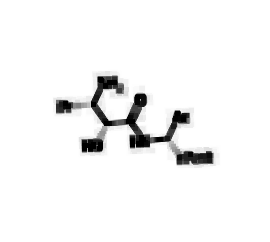 CCCCC[C@H](NC(=O)[C@H](O)[C@@H](N)C(C)C)C(C)=O